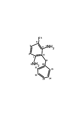 Nc1ccc(F)c(N)c1Cc1ccccc1